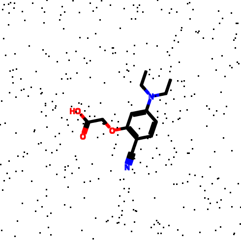 CCN(CC)c1ccc(C#N)c(OCC(=O)O)c1